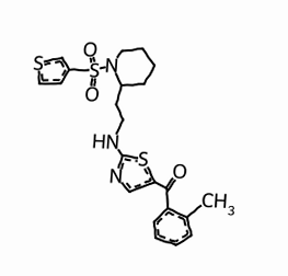 Cc1ccccc1C(=O)c1cnc(NCCC2CCCCN2S(=O)(=O)c2ccsc2)s1